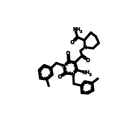 Cc1cccc(Cn2c(N)c(C(=O)CN3CCCCC3C(N)=O)c(=O)n(Cc3cccc(C)c3)c2=O)c1